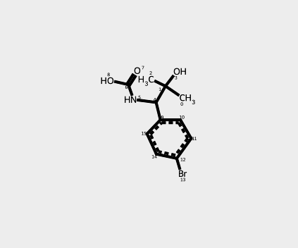 CC(C)(O)C(NC(=O)O)c1ccc(Br)cc1